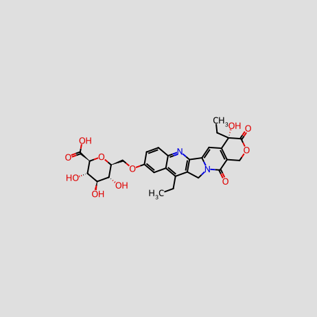 CCc1c2c(nc3ccc(OC[C@@H]4O[C@H](C(=O)O)[C@@H](O)[C@H](O)[C@H]4O)cc13)-c1cc3c(c(=O)n1C2)COC(=O)[C@]3(O)CC